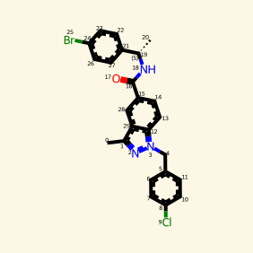 Cc1nn(Cc2ccc(Cl)cc2)c2ccc(C(=O)N[C@@H](C)c3ccc(Br)cc3)cc12